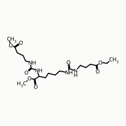 CCOC(=O)CCCNC(=O)NCCCCC(NC(=O)NCCCC(=O)OC)C(=O)OC